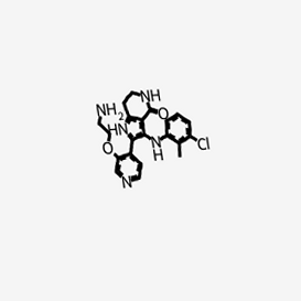 Cc1c(Cl)cccc1Nc1c(-c2ccncc2OCCN)[nH]c2c1C(=O)NCC2